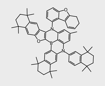 Cc1cc2c3c(c1)N(c1cccc4oc5c(c14)C=CCC5)c1c(oc4cc5c(cc14)C(C)(C)CCC5(C)C)B3c1cc3c(cc1N2c1ccc2c(c1)C(C)(C)CCC2(C)C)C(C)(C)CCC3(C)C